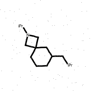 CC(C)CC1CCCC2(C1)CN(C(C)C)C2